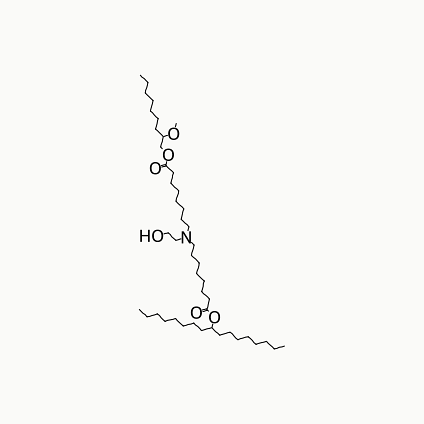 CCCCCCCCC(CCCCCCCC)OC(=O)CCCCCCCN(CCO)CCCCCCCC(=O)OCC(CCCCCCC)OC